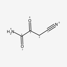 N#CCC(=O)C(N)=O